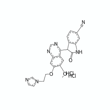 COc1cc2c(C3C(=O)Nc4cc(C#N)ccc43)ncnc2cc1OCCn1ccnc1.Cl.Cl